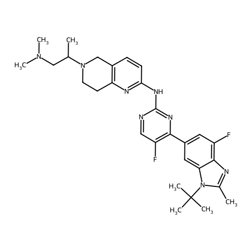 Cc1nc2c(F)cc(-c3nc(Nc4ccc5c(n4)CCN(C(C)CN(C)C)C5)ncc3F)cc2n1C(C)(C)C